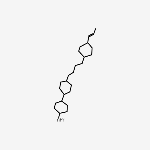 C/C=C/C1CCC(CCCCC2CCC(C3CCC(CCC)CC3)CC2)CC1